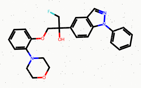 OC(CF)(COc1ccccc1N1CCOCC1)c1ccc2c(cnn2-c2ccccc2)c1